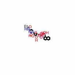 CCC(=O)Nc1ccn([C@@H]2O[C@H](COP(=O)(O)OP(=O)(O)Cc3cccc4ccccc34)[C@H](O)C2O)c(=O)n1